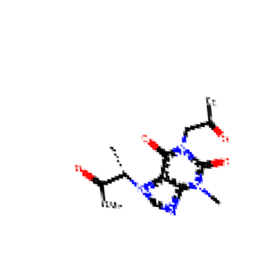 CCC(=O)Cn1c(=O)c2c(ncn2[C@@H](C)C(=O)OC)n(C)c1=O